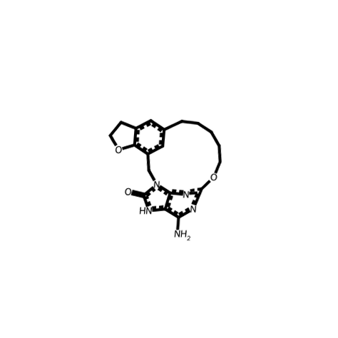 Nc1nc2nc3c1[nH]c(=O)n3Cc1cc(cc3c1OCC3)CCCCCO2